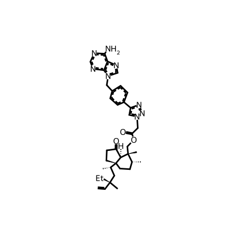 C=C[C@](C)(CC)C[C@H](C)[C@]12CCC(=O)[C@H]1[C@](C)(COC(=O)Cn1cc(-c3ccc(Cn4cnc5c(N)ncnc54)cc3)nn1)[C@H](C)CC2